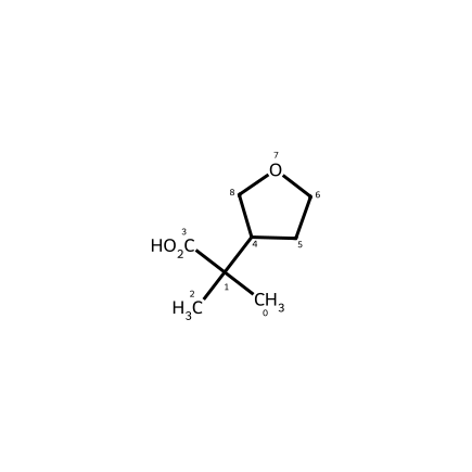 CC(C)(C(=O)O)C1CCOC1